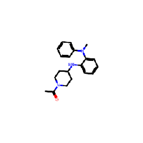 CC(=O)N1CCC(Nc2ccccc2N(C)c2ccccc2)CC1